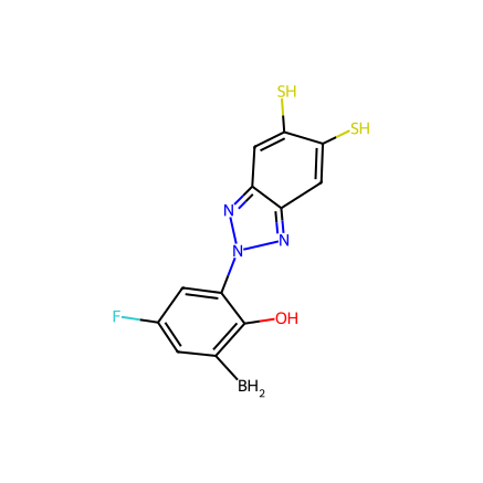 Bc1cc(F)cc(-n2nc3cc(S)c(S)cc3n2)c1O